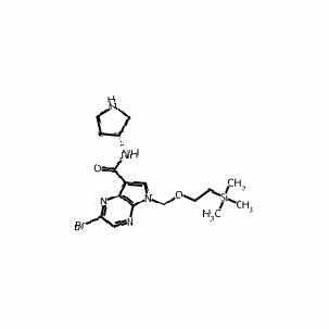 C[Si](C)(C)CCOCn1cc(C(=O)N[C@@H]2CCNC2)c2nc(Br)cnc21